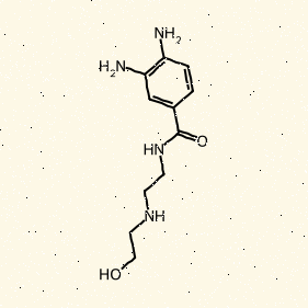 Nc1ccc(C(=O)NCCNCCO)cc1N